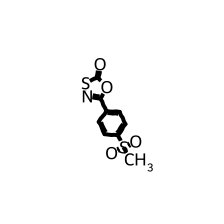 CS(=O)(=O)c1ccc(-c2nsc(=O)o2)cc1